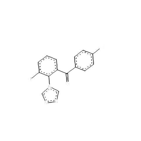 O=C(c1ccc(Cl)cc1)c1cccc(Cl)c1-n1cnnc1